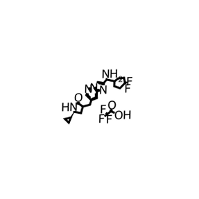 N[C@H](c1cn2ncc(CC3C[C@@H](C4CC4)NC3=O)cc2n1)C1CCC(F)(F)CC1.O=C(O)C(F)(F)F